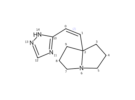 C(=C/C12CCCN1CCC2)/c1ncn[nH]1